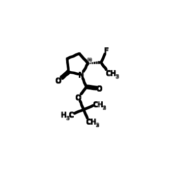 CC(F)[C@H]1CCC(=O)N1C(=O)OC(C)(C)C